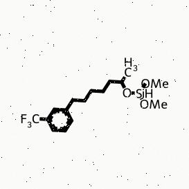 CO[SiH](OC)OC(C)CCCCCc1cccc(C(F)(F)F)c1